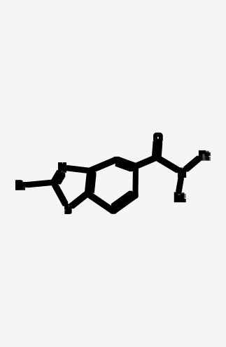 CCN(CC)C(=O)c1ccc2sc(Br)nc2c1